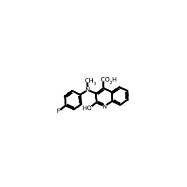 CN(c1ccc(F)cc1)c1c(O)nc2ccccc2c1C(=O)O